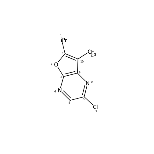 CC(C)c1oc2ncc(Cl)nc2c1C(F)(F)F